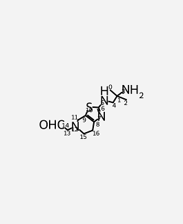 CC(C)(N)CNc1nc2c(s1)CN(CC=O)CC2